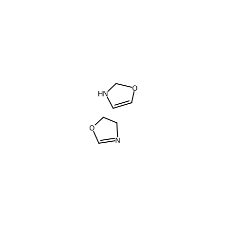 C1=COCN1.C1=NCCO1